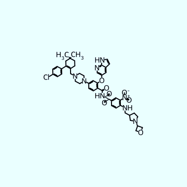 CC1(C)CCC(CN2CCN(c3ccc(C(=O)NS(=O)(=O)c4ccc(NCC5CCN(C6COC6)C5)c([N+](=O)[O-])c4)c(Oc4cnc5[nH]ccc5c4)c3)CC2)=C(c2ccc(Cl)cc2)C1